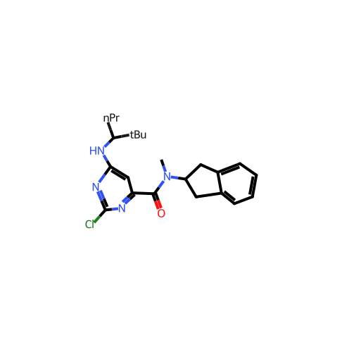 CCCC(Nc1cc(C(=O)N(C)C2Cc3ccccc3C2)nc(Cl)n1)C(C)(C)C